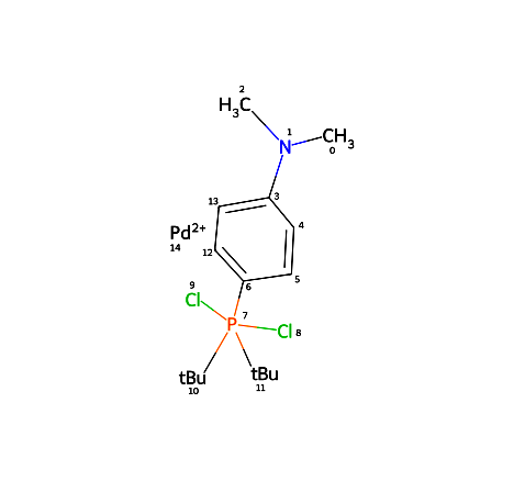 CN(C)c1ccc(P(Cl)(Cl)(C(C)(C)C)C(C)(C)C)cc1.[Pd+2]